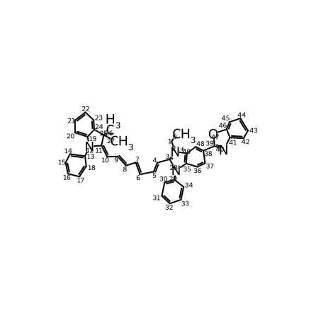 CC[n+]1c(/C=C/C=C/C=C/C=C2/N(c3ccccc3)c3ccccc3C2(C)C)n(-c2ccccc2)c2ccc(-c3nc4ccccc4o3)cc21